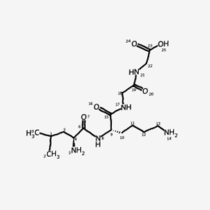 CC(C)C[C@H](N)C(=O)N[C@@H](CCCCN)C(=O)NCC(=O)NCC(=O)O